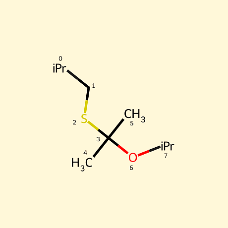 CC(C)CSC(C)(C)OC(C)C